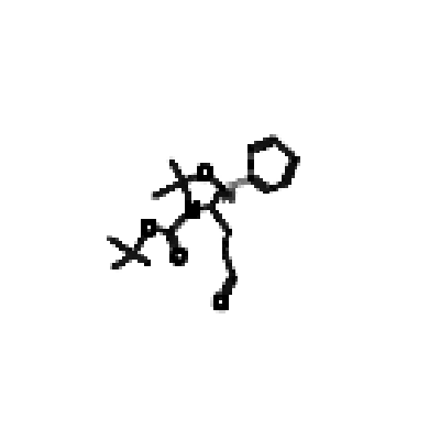 CC(C)(C)OC(=O)N1C(CCC=O)[C@@H](c2ccccc2)OC1(C)C